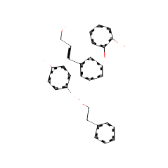 O=[N+]([O-])c1ccc(O)cc1.OCC=Cc1ccccc1.OCCc1ccccc1.Oc1ccccc1O